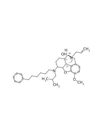 C=CCN1CC[C@]23c4c5ccc(OC)c4OC2C(N(CCCCCCc2ccccc2)CC(C)C)CC[C@@]3(O)[C@H]1C5